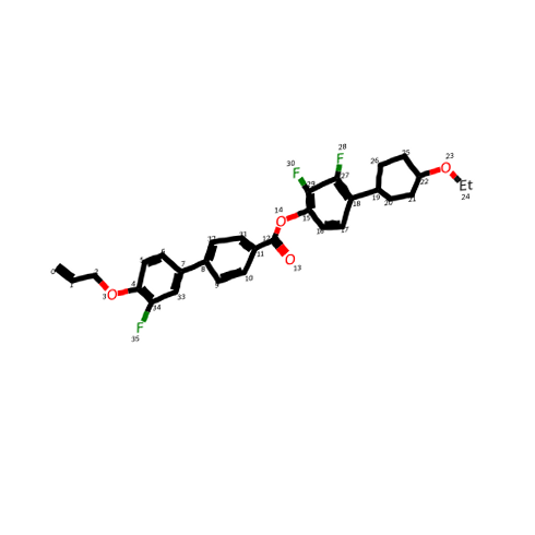 C=CCOc1ccc(-c2ccc(C(=O)Oc3ccc(C4CCC(OCC)CC4)c(F)c3F)cc2)cc1F